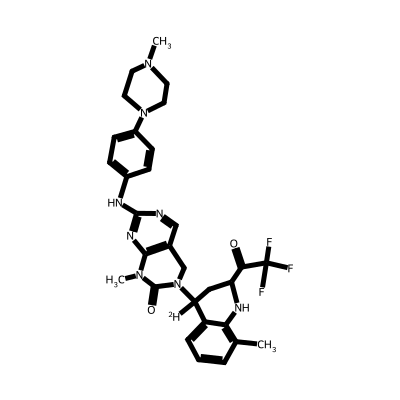 [2H]C1(N2Cc3cnc(Nc4ccc(N5CCN(C)CC5)cc4)nc3N(C)C2=O)CC(C(=O)C(F)(F)F)Nc2c(C)cccc21